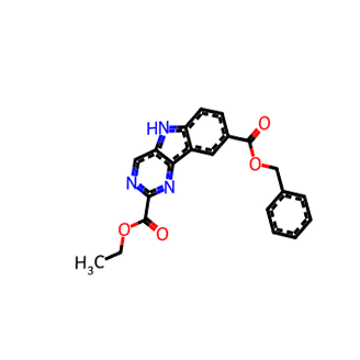 CCOC(=O)c1ncc2[nH]c3ccc(C(=O)OCc4ccccc4)cc3c2n1